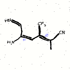 C/C(C#N)=C(\C=C(\N)C=N)C(F)(F)F